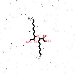 CCCCCCCC(OC(CCCCCCC)C(O)CO)C(O)CO